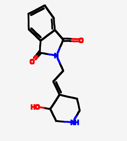 O=C1c2ccccc2C(=O)N1C/C=C1\CCNCC1O